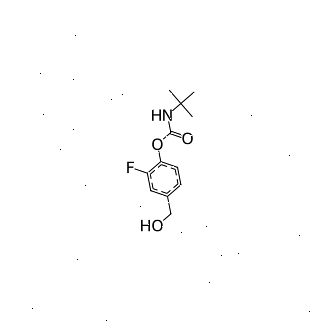 CC(C)(C)NC(=O)Oc1ccc(CO)cc1F